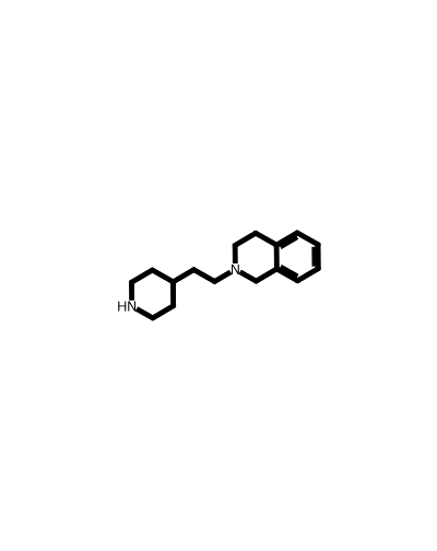 c1ccc2c(c1)CCN(CCC1CCNCC1)C2